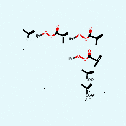 C=C(C)C(=O)OOC(C)C.C=C(C)C(=O)OOC(C)C.C=C(C)C(=O)OOC(C)C.C=C(C)C(=O)[O-].C=C(C)C(=O)[O-].C=C(C)C(=O)[O-].[Al+3]